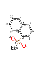 CCS(=O)(=O)c1cccc2ccccc12